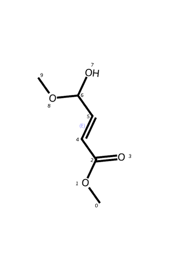 COC(=O)/C=C/C(O)OC